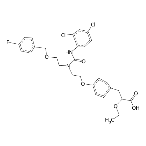 CCOC(Cc1ccc(OCCN(CCOCc2ccc(F)cc2)C(=O)Nc2ccc(Cl)cc2Cl)cc1)C(=O)O